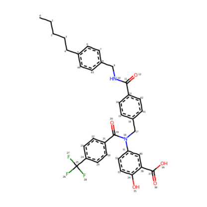 CCCCCc1ccc(CNC(=O)c2ccc(CN(C(=O)c3ccc(C(F)(F)F)cc3)c3ccc(O)c(C(=O)O)c3)cc2)cc1